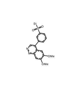 CCS(=O)(=O)c1cccc(-c2cnnc3cc(OC)c(OC)cc23)c1